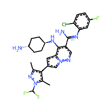 Cc1nn(C(F)F)c(C)c1-c1cc2c(N[C@H]3CC[C@H](N)CC3)c(/C(N)=N/c3cc(F)ccc3Cl)cnn2c1